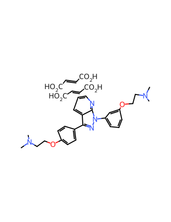 CN(C)CCOc1ccc(-c2nn(-c3cccc(OCCN(C)C)c3)c3ncccc23)cc1.O=C(O)/C=C/C(=O)O.O=C(O)/C=C/C(=O)O